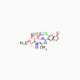 CCn1c(-c2cc3c(cc2Cl)C(=O)CC3)nc(C)c(NC(COC)COC)c1=O